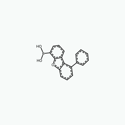 OB(O)c1cccc2c1oc1cccc(-c3ccccc3)c12